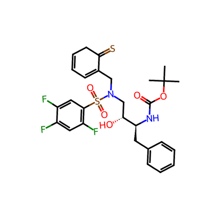 CC(C)(C)OC(=O)N[C@@H](Cc1ccccc1)[C@H](O)CN(CC1=CC=CCC1=S)S(=O)(=O)c1cc(F)c(F)cc1F